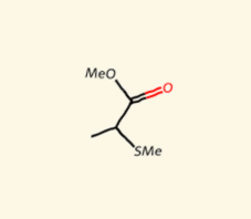 COC(=O)C(C)SC